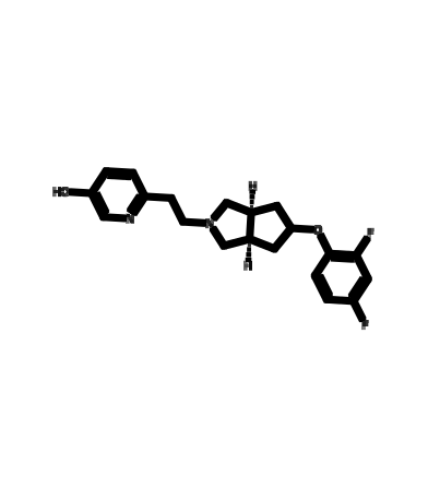 Oc1ccc(CCN2C[C@H]3CC(Oc4ccc(F)cc4F)C[C@H]3C2)nc1